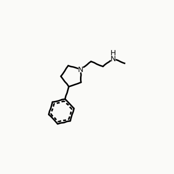 CNCCN1CCC(c2ccccc2)C1